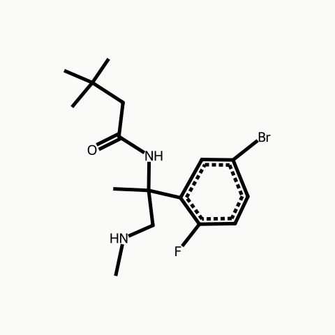 CNCC(C)(NC(=O)CC(C)(C)C)c1cc(Br)ccc1F